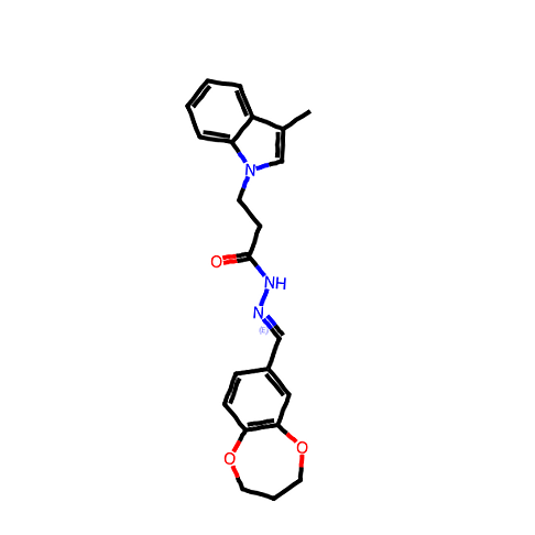 Cc1cn(CCC(=O)N/N=C/c2ccc3c(c2)OCCCO3)c2ccccc12